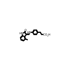 Cc1cccc2c1C(=CNc1ccc(CCC(=O)O)cc1)C(=O)N2